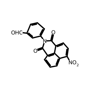 O=Cc1cccc(N2C(=O)c3cccc4c([N+](=O)[O-])ccc(c34)C2=O)c1